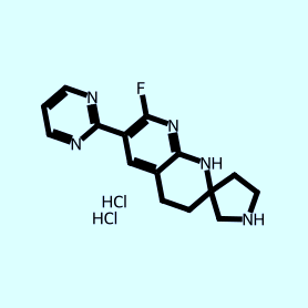 Cl.Cl.Fc1nc2c(cc1-c1ncccn1)CCC1(CCNC1)N2